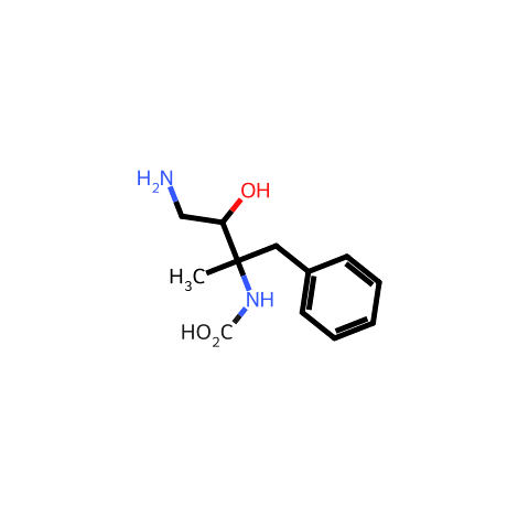 CC(Cc1ccccc1)(NC(=O)O)C(O)CN